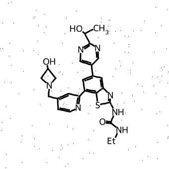 CCNC(=O)Nc1nc2cc(-c3cnc(C(C)O)nc3)cc(-c3cc(CN4CC(O)C4)ccn3)c2s1